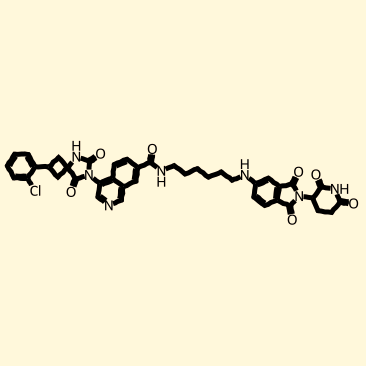 O=C1CCC(N2C(=O)c3ccc(NCCCCCCNC(=O)c4ccc5c(N6C(=O)NC7(CC(c8ccccc8Cl)C7)C6=O)cncc5c4)cc3C2=O)C(=O)N1